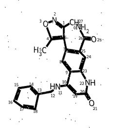 Cc1noc(C)c1-c1cc2c(NCc3ccccc3)cc(=O)[nH]c2cc1C(N)=O